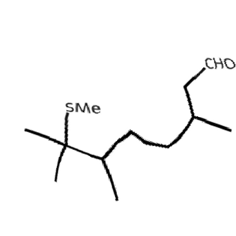 CSC(C)(C)C(C)CCC(C)CC=O